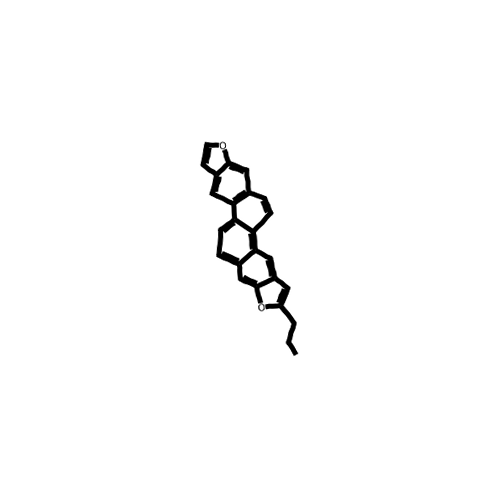 CCCc1cc2cc3c(ccc4c5cc6ccoc6cc5ccc34)cc2o1